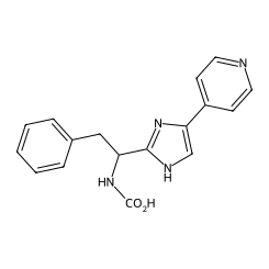 O=C(O)NC(Cc1ccccc1)c1nc(-c2ccncc2)c[nH]1